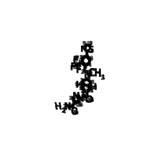 CN(Cc1ccc(-c2nccs2)cc1C(F)(F)F)[C@H]1C[C@@H]2CN(C(=O)n3cc(C(N)=O)cn3)C[C@@H]2C1